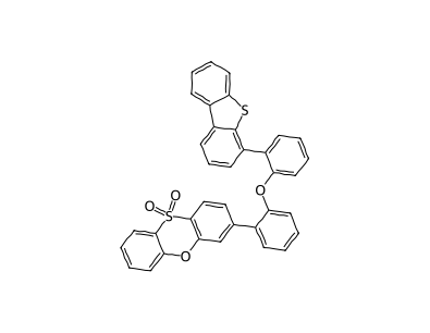 O=S1(=O)c2ccccc2Oc2cc(-c3ccccc3Oc3ccccc3-c3cccc4c3sc3ccccc34)ccc21